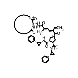 C=C/C(=C\C=C(/C)C(=O)NC[C@@H]1NC(=O)CCCCCCCCCCCCNC1=O)C(=O)N1C[C@@H](C(=O)N[C@H]2C[C@@H]2c2ccccc2)[C@H](C(=O)N[C@H]2C[C@@H]2c2ccccc2)C1